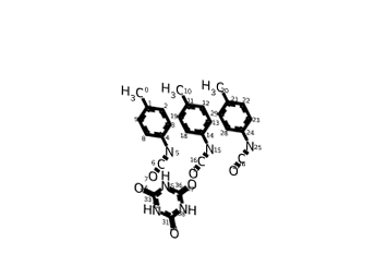 Cc1ccc(N=C=O)cc1.Cc1ccc(N=C=O)cc1.Cc1ccc(N=C=O)cc1.O=c1[nH]c(=O)[nH]c(=O)[nH]1